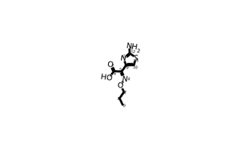 CCCON=C(C(=O)O)c1csc(N)n1